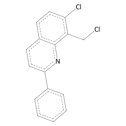 ClCc1c(Cl)ccc2ccc(-c3ccccc3)nc12